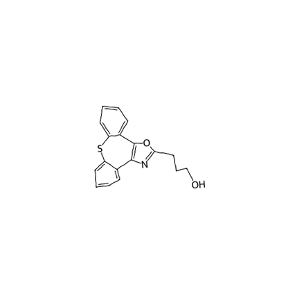 OCCCc1nc2c(o1)-c1ccccc1Sc1ccccc1-2